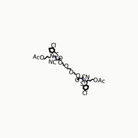 CC(=O)OCCCN1/C(=C(\C#N)C(=O)OCCOCCOCCOC(=O)/C(C#N)=C2\Sc3cc(Cl)ccc3N2CCCOC(C)=O)Sc2cc(Cl)ccc21